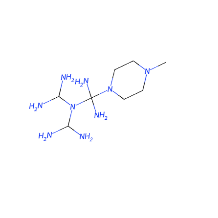 CN1CCN(C(N)(N)N(C(N)N)C(N)N)CC1